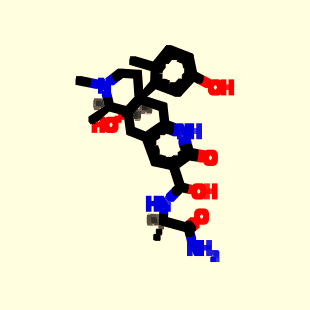 Cc1ccc(O)cc1[C@]12CCN(C)[C@H](C)[C@]1(O)Cc1cc(C(O)N[C@@H](C)C(N)=O)c(=O)[nH]c1C2